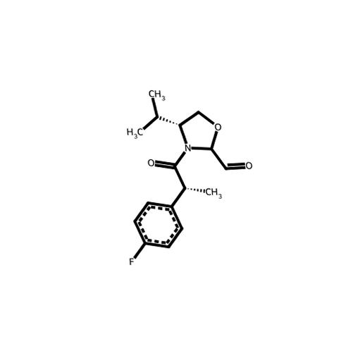 CC(C)[C@@H]1COC(C=O)N1C(=O)[C@H](C)c1ccc(F)cc1